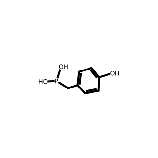 Oc1ccc(CP(O)O)cc1